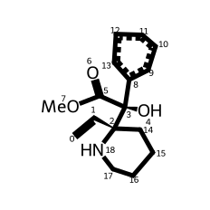 C=C[C@@]1([C@](O)(C(=O)OC)c2ccccc2)CCCCN1